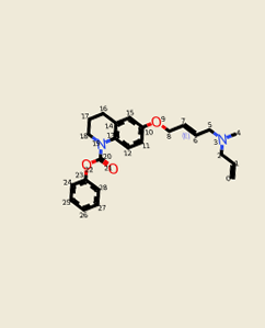 C=CCN(C)C/C=C/COc1ccc2c(c1)CCCN2C(=O)Oc1ccccc1